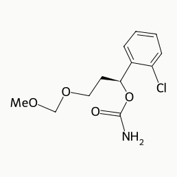 COCOCC[C@H](OC(N)=O)c1ccccc1Cl